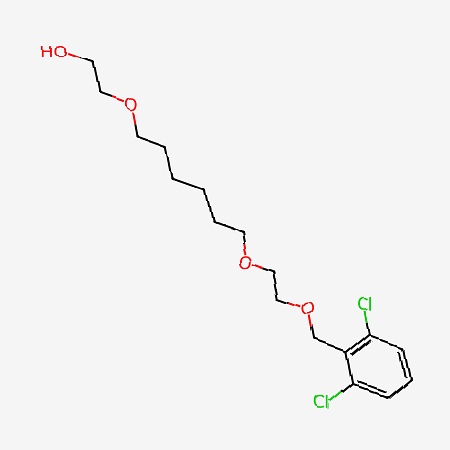 OCCOCCCCCCOCCOCc1c(Cl)cccc1Cl